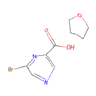 C1CCOC1.O=C(O)c1cncc(Br)n1